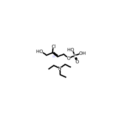 CCN(CC)CC.O=P(O)(O)OC/C=C(\Cl)CO